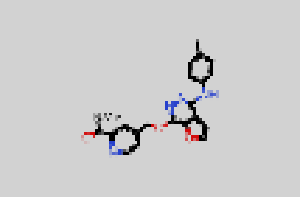 CNC(=O)c1cc(COc2nnc(Nc3ccc(C)cc3)c3ccoc23)ccn1